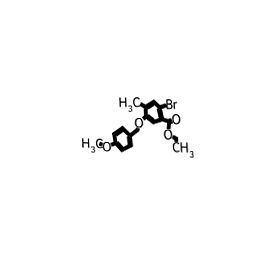 CCOC(=O)c1cc(OCc2ccc(OC)cc2)c(C)cc1Br